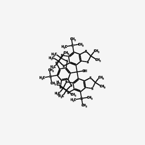 CC1(C)Sc2c(c([Si](C)(C)C)c3c(c2C(O)(c2c4c(c([Si](C)(C)C)c5c2SC(C)(C)S5)SC(C)(C)S4)c2c4c(c([Si](C)(C)C)c5c2SC(C)(C)S5)SC(C)(C)S4)SC(C)(C)S3)S1